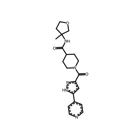 CC1(NC(=O)C2CCN(C(=O)c3cc(-c4ccncc4)[nH]n3)CC2)CCOC1